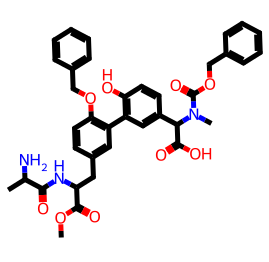 COC(=O)C(Cc1ccc(OCc2ccccc2)c(-c2cc(C(C(=O)O)N(C)C(=O)OCc3ccccc3)ccc2O)c1)NC(=O)C(C)N